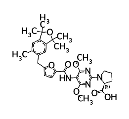 COc1nc(N2CCC[C@H]2C(=O)O)nc(OC)c1NC(=O)c1ccc(Cc2cc3c(cc2C)C(C)(C)OC3(C)C)o1